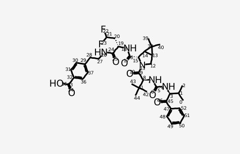 CC(C)[C@H](NC(=O)N[C@H](C(=O)N1CC2C([C@H]1C(=O)N[C@@H](CC(F)F)C(=O)NCCc1ccc(C(=O)O)cc1)C2(C)C)C(C)(C)C)C(=O)c1ccccc1